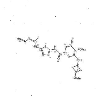 COc1c(NC23CC(OC)(C2)C3)cc(C(=O)Nc2nnc(N/C(C)=C\C=N)s2)oc1=O